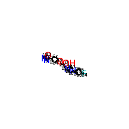 OC(COc1ccc(-c2nnco2)cc1)CN1CCN(c2ccc(F)cc2)CC1